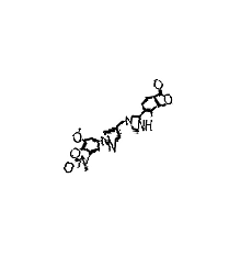 COc1cc(-n2cc(CN3CCNC(c4ccc5c(c4C)COC5=O)C3)cn2)cc2c1oc(=O)n2C